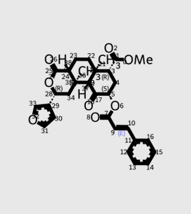 COC(=O)[C@@H]1C[C@H](OC(=O)/C=C/c2ccccc2)C(=O)[C@H]2[C@@]1(C)CC[C@H]1C(=O)O[C@@H](c3ccoc3)C[C@]21C